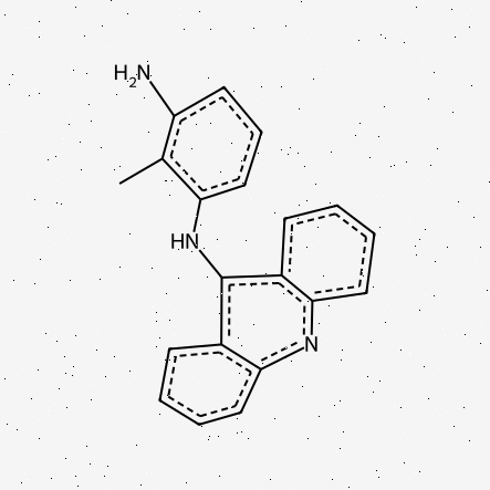 Cc1c(N)cccc1Nc1c2ccccc2nc2ccccc12